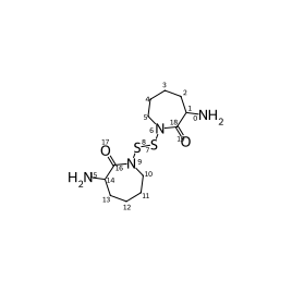 NC1CCCCN(SSN2CCCCC(N)C2=O)C1=O